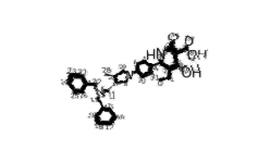 CCc1c(-c2ccc(N3C[C@H](CN(Cc4ccccc4)Cc4ccccc4)[C@@H](C)C3)cc2)[nH]c(=O)c(C(=O)O)c1O